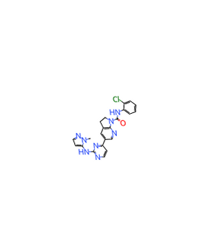 Cn1nccc1Nc1nccc(-c2cnc3c(c2)CCN3C(=O)Nc2ccccc2Cl)n1